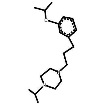 CC(C)Oc1cccc(CCCN2CCN(C(C)C)CC2)c1